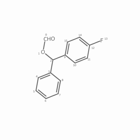 O=COC(c1ccccc1)c1ccc(F)cc1